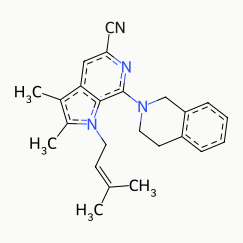 CC(C)=CCn1c(C)c(C)c2cc(C#N)nc(N3CCc4ccccc4C3)c21